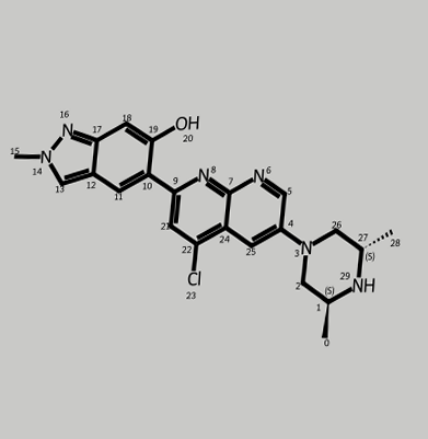 C[C@H]1CN(c2cnc3nc(-c4cc5cn(C)nc5cc4O)cc(Cl)c3c2)C[C@H](C)N1